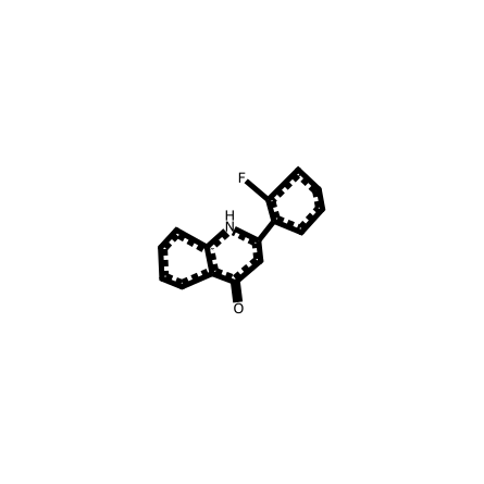 O=c1cc(-c2ccccc2F)[nH]c2ccccc12